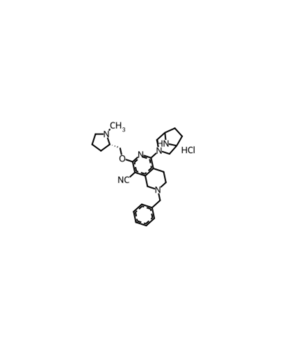 CN1CCC[C@H]1COc1nc(N2CC3CCC(C2)N3)c2c(c1C#N)CN(Cc1ccccc1)CC2.Cl